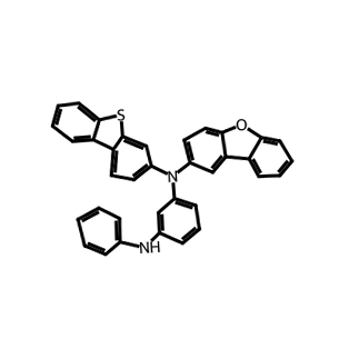 c1ccc(Nc2cccc(N(c3ccc4c(c3)sc3ccccc34)c3ccc4oc5ccccc5c4c3)c2)cc1